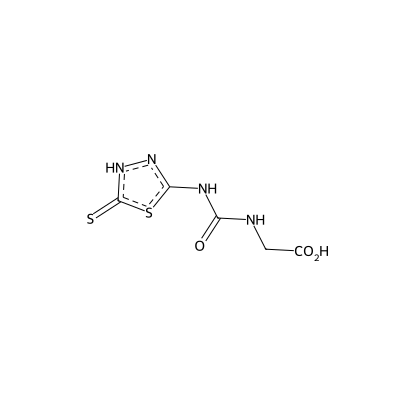 O=C(O)CNC(=O)Nc1n[nH]c(=S)s1